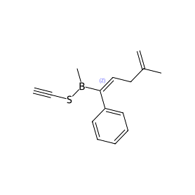 C#CSB(C)/C(=C/CC(=C)C)c1ccccc1